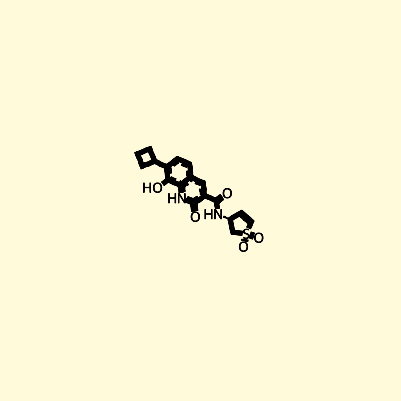 O=C(N[C@@H]1C=CS(=O)(=O)C1)c1cc2ccc(C3CCC3)c(O)c2[nH]c1=O